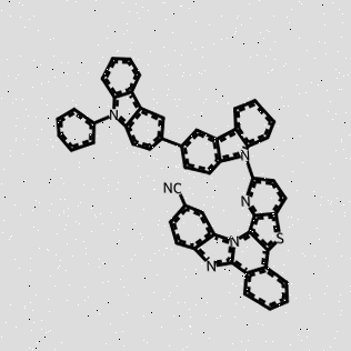 N#Cc1ccc2nc3c4ccccc4c4sc5ccc(-n6c7ccccc7c7cc(-c8ccc9c(c8)c8ccccc8n9-c8ccccc8)ccc76)nc5c4n3c2c1